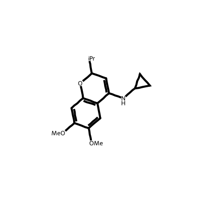 COc1cc2c(cc1OC)C(NC1CC1)=CC(C(C)C)O2